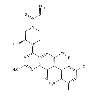 C=CC(=O)N1CCN(c2nc(C)nn3c(=O)c(-c4c(N)c(Cl)cc(Cl)c4F)c(C(F)(F)F)cc23)[C@@H](C)C1